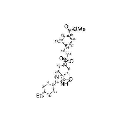 CCC1CCC(C2=NC3(CCN(S(=O)(=O)CCc4ccc(C(=O)OC)cc4C)CC3)C(=O)N2)CC1